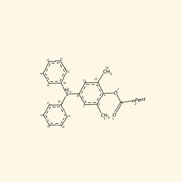 CCCCCC(=O)Oc1c(C)cc([SH](c2ccccc2)c2ccccc2)cc1C